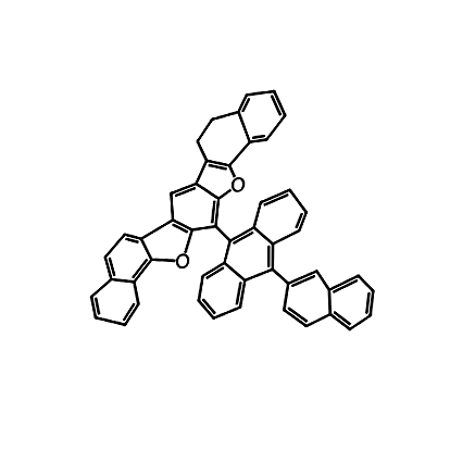 c1ccc2c(c1)CCc1c-2oc2c(-c3c4ccccc4c(-c4ccc5ccccc5c4)c4ccccc34)c3oc4c5ccccc5ccc4c3cc12